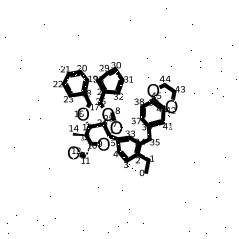 CCc1ccc(C2(OC)O[C@H](C=O)[C@@H](C)[C@H](OCc3ccccc3)[C@H]2OCc2ccccc2)cc1Cc1ccc2c(c1)OCCO2